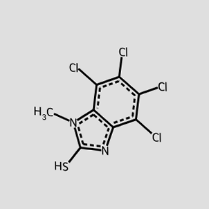 Cn1c(S)nc2c(Cl)c(Cl)c(Cl)c(Cl)c21